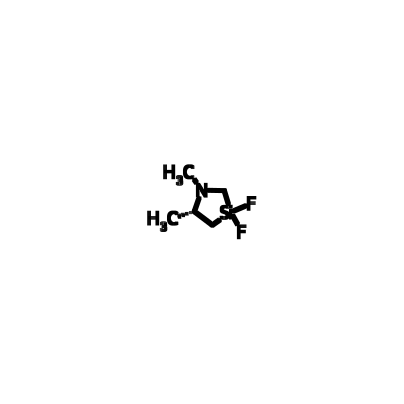 C[C@H]1C[Si](F)(F)CN1C